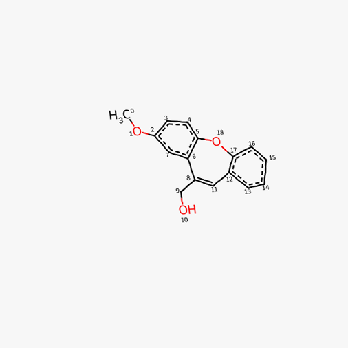 COc1ccc2c(c1)C(CO)=Cc1ccccc1O2